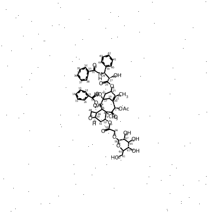 CC(=O)O[C@H]1C(=O)[C@@]2(C)C([C@H](OC(=O)c3ccccc3)[C@@]3(O)CC1=C(C)C(OC(=O)[C@H](O)[C@@H](NC(=O)c1ccccc1)c1ccccc1)C3)[C@]1(OC(C)=O)CO[C@@H]1C[C@@H]2OC(=O)COC1OC(CO)C(O)C(O)C1O